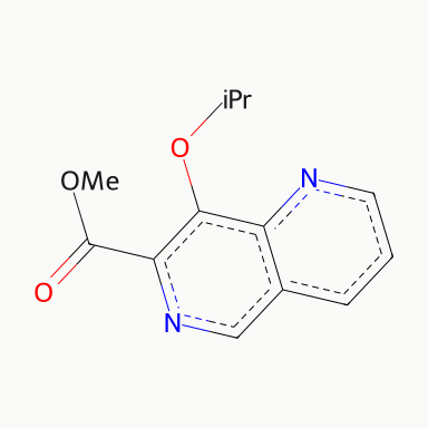 COC(=O)c1ncc2cccnc2c1OC(C)C